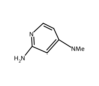 CNc1[c]c(N)ncc1